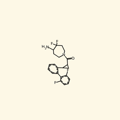 NC1CCN(C(=O)C2CC2c2ccccc2-c2c(F)cccc2F)CCC1(F)F